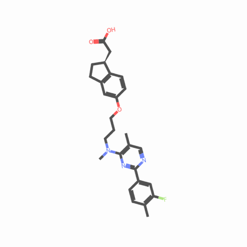 Cc1ccc(-c2ncc(C)c(N(C)CCCOc3ccc4c(c3)CC[C@H]4CC(=O)O)n2)cc1F